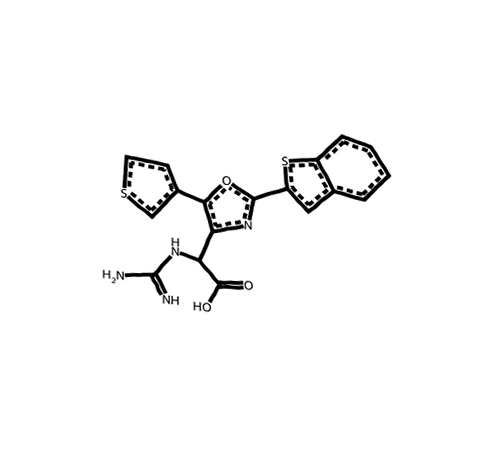 N=C(N)NC(C(=O)O)c1nc(-c2cc3ccccc3s2)oc1-c1ccsc1